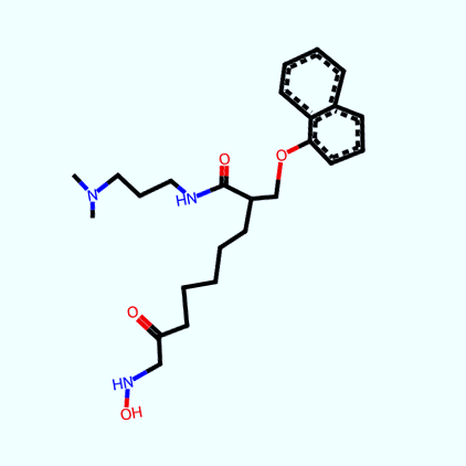 CN(C)CCCNC(=O)C(CCCCCC(=O)CNO)COc1cccc2ccccc12